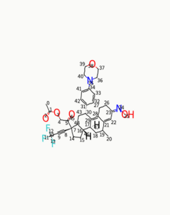 CC(=O)OCC(=O)[C@@]1(C#CC(F)(F)F)CC[C@H]2[C@@H]3CC(C)C4=CC(=NO)CCC4=C3[C@@H](c3ccc(N4CCOCC4)cc3)C[C@@]21C